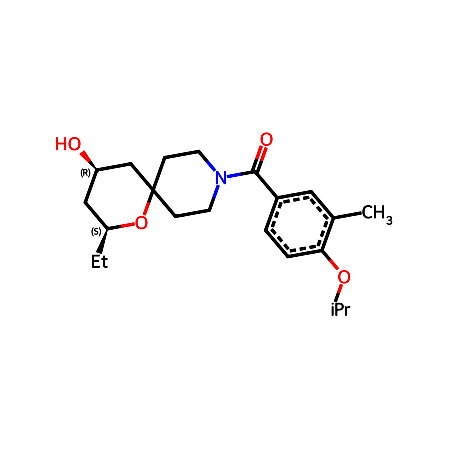 CC[C@H]1C[C@@H](O)CC2(CCN(C(=O)c3ccc(OC(C)C)c(C)c3)CC2)O1